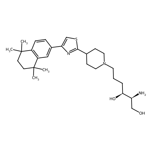 CC1(C)CCC(C)(C)c2cc(-c3csc(C4CCN(CCC[C@H](O)[C@@H](N)CO)CC4)n3)ccc21